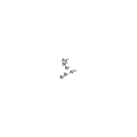 [Ag+].[Al+3].[Br-].[Br-].[Br-].[Br-]